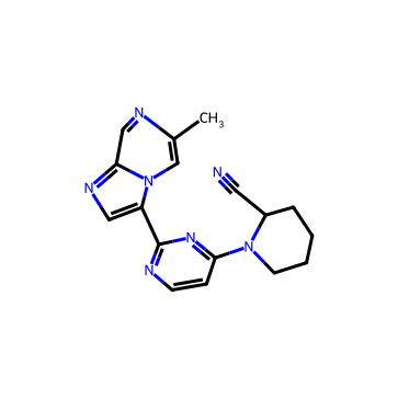 Cc1cn2c(-c3nccc(N4CCCCC4C#N)n3)cnc2cn1